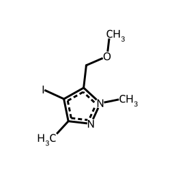 COCc1c(I)c(C)nn1C